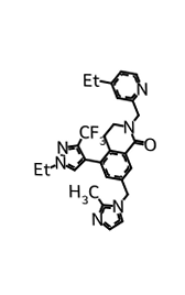 CCc1ccnc(CN2CCc3c(cc(Cn4ccnc4C)cc3-c3cn(CC)nc3C(F)(F)F)C2=O)c1